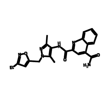 CCc1cc(Cn2nc(C)c(NC(=O)c3cc(C(N)=O)c4ccccc4n3)c2C)on1